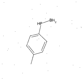 BPc1ccc(C)cc1